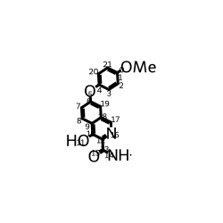 COc1ccc(Oc2ccc3c(O)c(C([NH])=O)ncc3c2)cc1